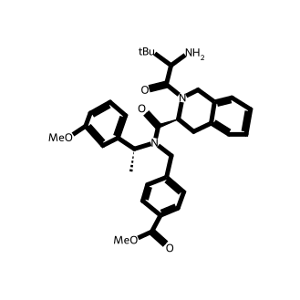 COC(=O)c1ccc(CN(C(=O)[C@@H]2Cc3ccccc3CN2C(=O)C(N)C(C)(C)C)[C@H](C)c2cccc(OC)c2)cc1